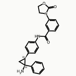 N[C@@]1(c2ccccc2)C[C@H]1c1ccc(NC(=O)c2cccc(N3CCOC3=O)c2)cc1